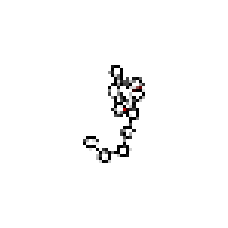 c1ccc(-c2cccc(-c3cccc(-c4ccc(-c5ccc(-c6ccccc6-n6c7c(c8ccccc86)CCc6c-7n(-c7ccccc7)c7ccccc67)cc5)cc4)c3)c2)cc1